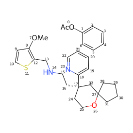 CC(=O)Oc1ccccc1.COc1ccsc1CNCC[C@@]1(c2ccccn2)CCOC2(CCCC2)C1